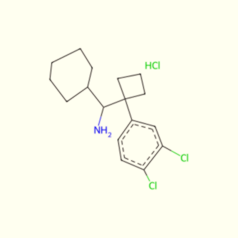 Cl.NC(C1CCCCC1)C1(c2ccc(Cl)c(Cl)c2)CCC1